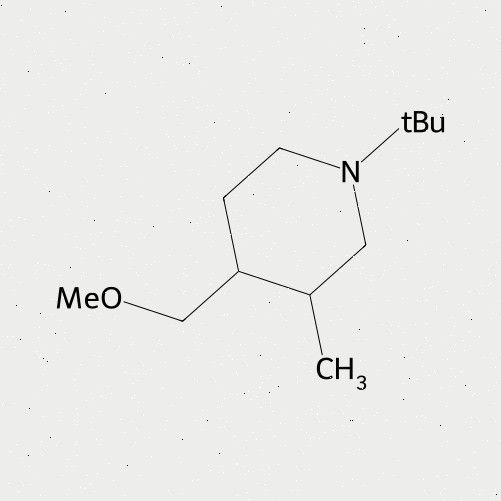 COCC1CCN(C(C)(C)C)CC1C